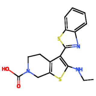 CCNc1sc2c(c1-c1nc3ccccc3s1)CCN(C(=O)O)C2